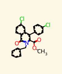 COC(=O)c1c(-c2ccc(Cl)cc2)c2cc(Cl)ccc2c(=O)n1Cc1ccccc1